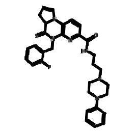 O=C(NCCCN1CCN(c2ccccc2)CC1)c1ccc2c(n1)N(Cc1ccccc1F)C(=S)C1CC=CN21